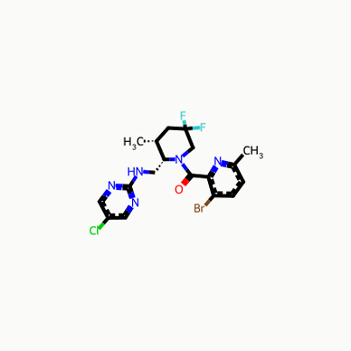 Cc1ccc(Br)c(C(=O)N2CC(F)(F)C[C@@H](C)[C@H]2CNc2ncc(Cl)cn2)n1